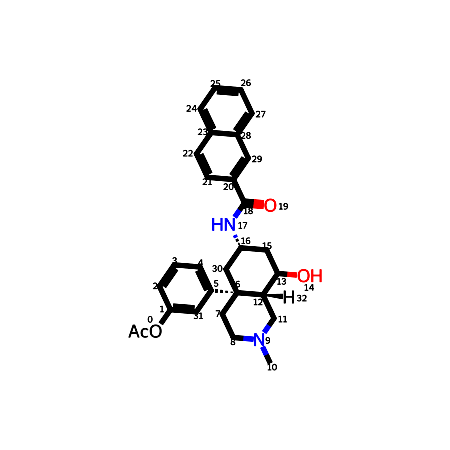 CC(=O)Oc1cccc([C@@]23CCN(C)C[C@H]2C(O)C[C@@H](NC(=O)c2ccc4ccccc4c2)C3)c1